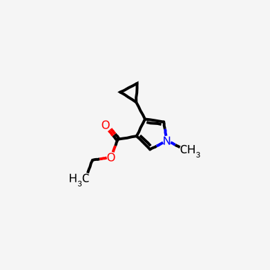 CCOC(=O)c1cn(C)cc1C1CC1